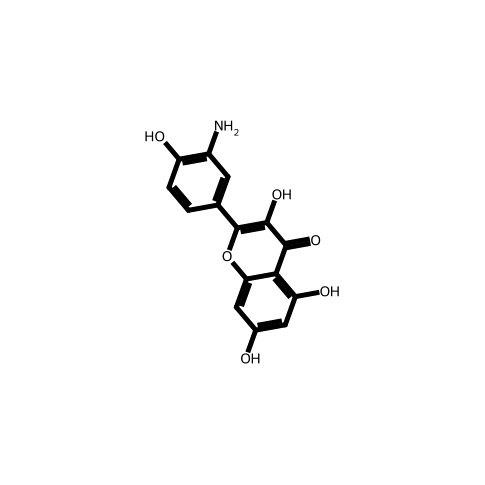 Nc1cc(-c2oc3cc(O)cc(O)c3c(=O)c2O)ccc1O